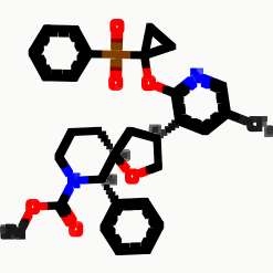 CC(C)(C)OC(=O)N1CCC[C@@]2(C[C@H](c3cc(C(F)(F)F)cnc3OC3(S(=O)(=O)c4ccccc4)CC3)CO2)[C@@H]1c1ccccc1